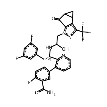 NC(=O)c1cc(-c2cccnc2[C@H](Cc2cc(F)cc(F)c2)NC(O)Cn2nc(C(F)(F)F)c3c2C(=O)C2CC32)ccc1F